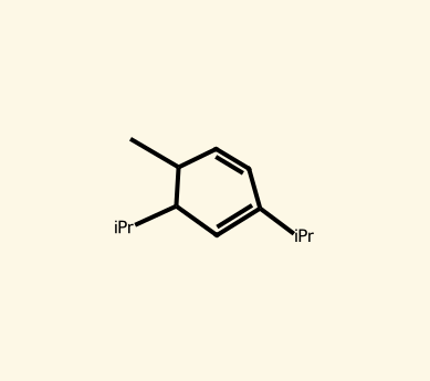 CC(C)C1=CC(C(C)C)C(C)C=C1